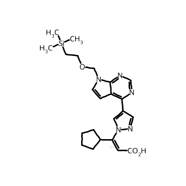 C[Si](C)(C)CCOCn1ccc2c(-c3cnn(/C(=C\C(=O)O)C4CCCC4)c3)ncnc21